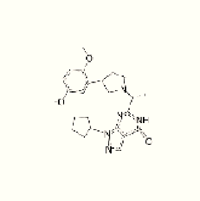 COc1ccc(OC)c(C2CCN([C@H](C)c3nc4c(cnn4C4CCCC4)c(=O)[nH]3)C2)c1